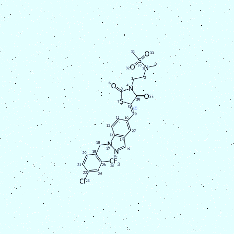 CN(CCN1C(=O)S/C(=C\c2ccc3c(cnn3Cc3ccc(Cl)cc3C(F)(F)F)c2)C1=O)S(C)(=O)=O